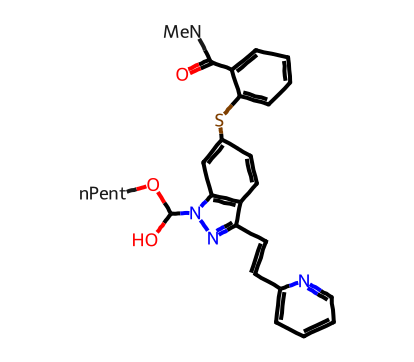 CCCCCOC(O)n1nc(/C=C/c2ccccn2)c2ccc(Sc3ccccc3C(=O)NC)cc21